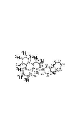 [2H]c1c([2H])c([2H])c2c(c1[2H])c1c([2H])c([2H])c([2H])c([2H])c1c1c([2H])c(-c3ccc4oc5ccccc5c4c3)c([2H])c([2H])c21